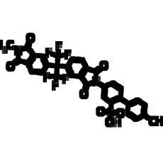 Cc1ccc(-c2ccc(N3C(=O)c4ccc(C(c5ccc6c(c5)C(=O)N(C)C6=O)(C(F)(F)F)C(F)(F)F)cc4C3=O)cc2S(=O)(=O)O)cc1